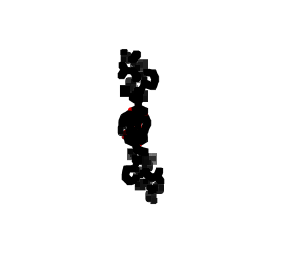 C=C(N[C@H](C(=O)N1CCCC[C@H]1c1nc(-c2ccc(-c3cc4ccc3CCc3ccc(c(-c5ccc(-c6c[nH]c([C@@H]7CCCCN7C(=O)[C@@H](NC(=O)OC)C(C)C)n6)cc5)c3)CC4)cc2)c[nH]1)C(C)C)OC